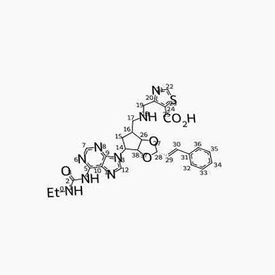 CCNC(=O)Nc1ncnc2c1ncn2C1CC(CNCc2ncsc2C(=O)O)C2O[C@H](/C=C/c3ccccc3)OC21